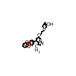 Cc1cnn2cc(OCCCN3CC4CC4(O)C3)cc(-c3ccc(N4CC5CC(C4)N5S(=O)(=O)N4CCCC4)nc3)c12